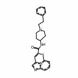 O=C(NC1CCN(CCc2ccccc2)CC1)C1=Cc2cnc3cccc(n23)S1